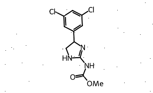 COC(=O)NC1=NC(c2cc(Cl)cc(Cl)c2)CN1